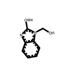 COc1nc2ccccc2n1CO